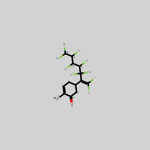 CC1=CCC(C(=C(F)F)C(F)(F)C(F)C(F)C(F)C(F)F)CC1=O